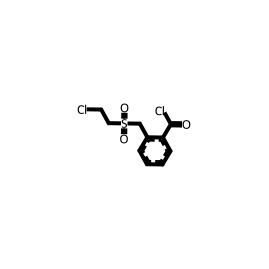 O=C(Cl)c1ccccc1CS(=O)(=O)CCCl